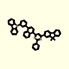 CC1(C)c2ccccc2-c2ccc(-c3cc(-c4ccc(-c5cccc(-n6c7ccccc7c7ccccc76)c5)c5ccccc45)nc(-c4ccccc4)n3)cc21